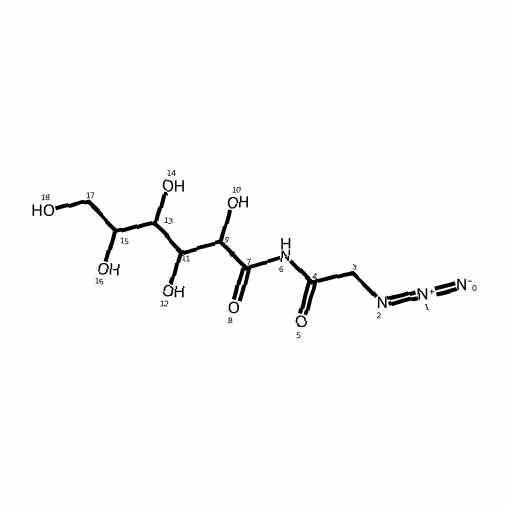 [N-]=[N+]=NCC(=O)NC(=O)C(O)C(O)C(O)C(O)CO